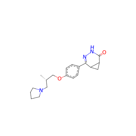 C[C@H](COc1ccc(C2=NNC(=O)C3CC23)cc1)CN1CCCC1